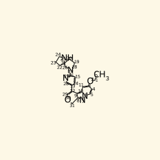 CCOc1ccn2nc3c(c2c1)C(c1ccc(N2CCCC4(CCCN4)C2)nc1)=COC3